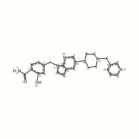 NC(=O)c1ccc(Cn2ccc3cc(C4CCN(Cc5cccnc5)CC4)cnc32)cc1O